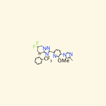 COc1nc(-c2nc3n(n2)CC(F)(F)C[C@H]3c2ccccc2C(F)(F)F)ccc1-n1cnc(C)c1